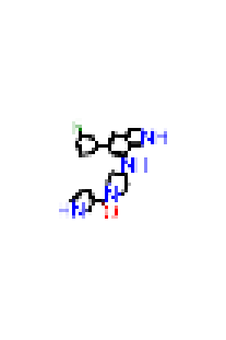 O=C(C1=CC=CNC1)N1CCC(Nc2cc(C3C=C(F)C=CC3)cc3c2=CNCC=3)CC1